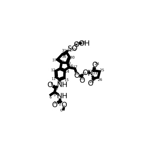 COC(=O)NC(C)C(=O)Nc1ccc2c(c1)C(COC(=O)ON1C(=O)CCC1=O)c1cc(SOOO)ccc1-2